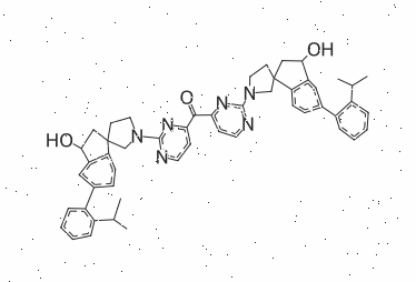 CC(C)c1ccccc1-c1ccc2c(c1)C(O)CC21CCN(c2nccc(C(=O)c3ccnc(N4CCC5(CC(O)c6cc(-c7ccccc7C(C)C)ccc65)C4)n3)n2)C1